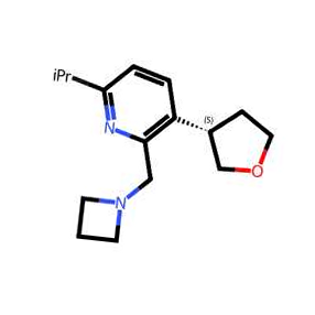 CC(C)c1ccc([C@@H]2CCOC2)c(CN2CCC2)n1